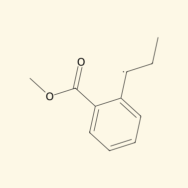 CC[CH]c1ccccc1C(=O)OC